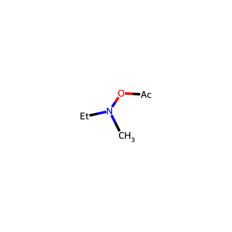 CCN(C)OC(C)=O